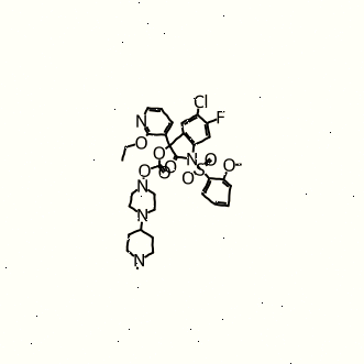 CCOc1ncccc1C1(OC(=O)ON2CCN(C3CCN(C)CC3)CC2)C(=O)N(S(=O)(=O)c2ccccc2OC)c2cc(F)c(Cl)cc21